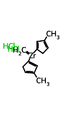 Cl.Cl.[CH2]=[Zr]([C]1=CC(C)=CC1)[C]1=CC(C)=CC1